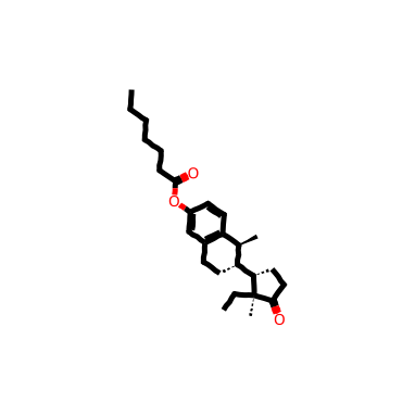 CCCCCCC(=O)Oc1ccc2c(c1)CC[C@@H]([C@@H]1CCC(=O)[C@@]1(C)CC)[C@@H]2C